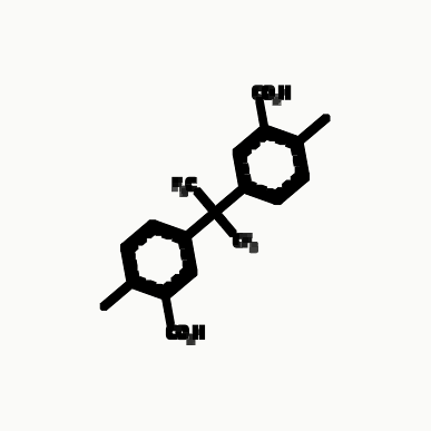 Cc1ccc(C(c2ccc(C)c(C(=O)O)c2)(C(F)(F)F)C(F)(F)F)cc1C(=O)O